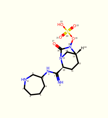 N=C(NC1CCCCNC1)[C@@H]1CC[C@@H]2CN1C(=O)N2OS(=O)(=O)O